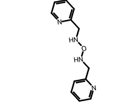 c1ccc(CNONCc2ccccn2)nc1